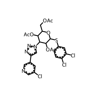 CC(=O)OCC1OC(Sc2ccc(Cl)c(Cl)c2)C(OC(C)=O)C(n2cc(-c3cncc(Cl)c3)nn2)C1OC(C)=O